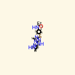 CCC(=O)Nc1ccc(Sc2nc(C)nc(Nc3cc(C)[nH]n3)n2)cc1